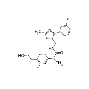 CC(C(=O)NCc1cc(C(F)(F)F)nn1-c1cccc(F)c1)c1ccc(CCO)c(F)c1